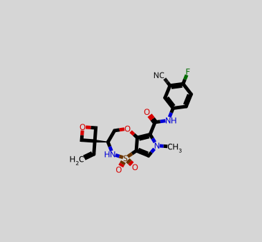 C=CC1([C@H]2COc3c(cn(C)c3C(=O)Nc3ccc(F)c(C#N)c3)S(=O)(=O)N2)COC1